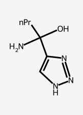 CCCC(N)(O)c1c[nH]nn1